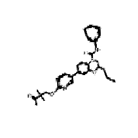 CCCC1CN(C(=O)Nc2ccccc2)c2ccc(-c3ccc(OCC(C)(C)C(C)=O)nc3)cc2O1